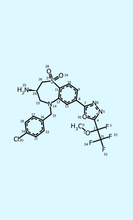 COC(F)(c1nnc(-c2ccc3c(c2)N(Cc2ccc(Cl)cc2)C[C@@H](N)CS3(=O)=O)o1)C(F)(F)F